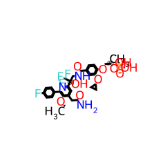 CCOc1c(CC(N)=O)cc([C@@](O)(CNC(=O)c2ccc(OC[C@@H](C)OP(=O)(O)O)c(OC3CC3)c2)C(F)(F)F)nc1-c1ccc(F)cc1